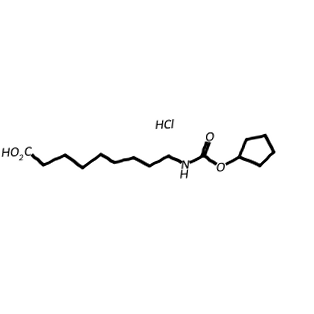 Cl.O=C(O)CCCCCCCCNC(=O)OC1CCCC1